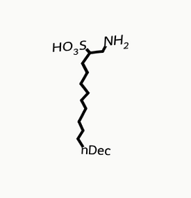 CCCCCCCCCCCCCCCCCCCC(CN)S(=O)(=O)O